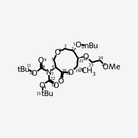 CCCCO[C@H]1COC[C@H](N(C(=O)OC(C)(C)C)C(=O)OC(C)(C)C)C(=O)O[C@@H](C)[C@@H]1OCCOC